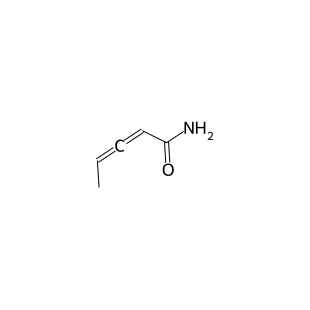 CC=C=CC(N)=O